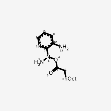 CCCCCCCCCC(=O)ON(N)c1ncccc1N